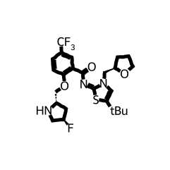 CC(C)(C)c1cn(C[C@H]2CCCO2)c(=NC(=O)c2cc(C(F)(F)F)ccc2OC[C@@H]2C[C@@H](F)CN2)s1